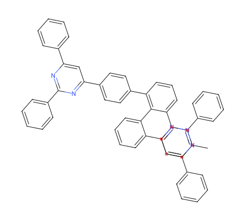 Cc1cccc(-c2cccc(-c3ccc(-c4cc(-c5ccccc5)nc(-c5ccccc5)n4)cc3)c2-c2ccccc2-c2cc(-c3ccccc3)nc(-c3ccccc3)n2)n1